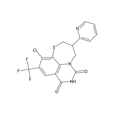 O=c1[nH]c(=O)n2c3c(c(Cl)c(C(F)(F)F)cc13)SCC(c1ccccn1)C2